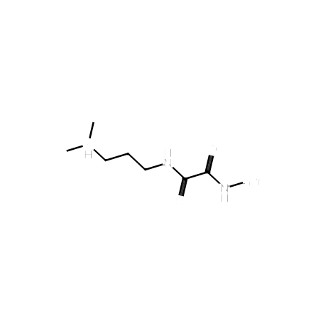 CCCNC(=O)C(=O)NCCC[SiH](C)C